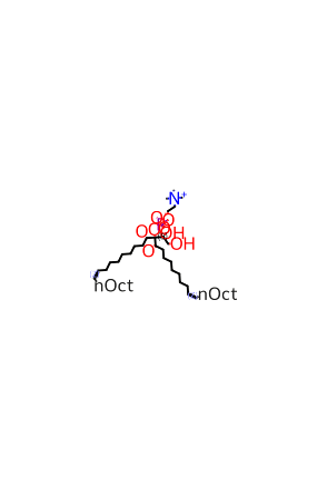 CCCCCCCC/C=C\CCCCCCCC(=O)C(OP(=O)([O-])OCC[N+](C)(C)C)(C(=O)CCCCCCC/C=C\CCCCCCCC)[C@@H](O)CO